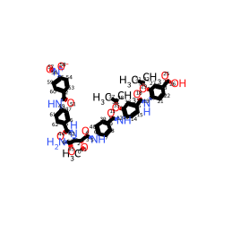 COC(C(=O)Nc1ccc(C(=O)Nc2ccc(C(=O)Nc3ccc(C(=O)O)cc3OC(C)C)cc2OC(C)C)cc1)C(NC(=O)c1ccc(NC(=O)c2ccc([N+](=O)[O-])cc2)cc1)C(N)=O